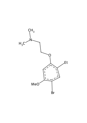 CCc1cc(Br)c(OC)cc1OCCN(C)C